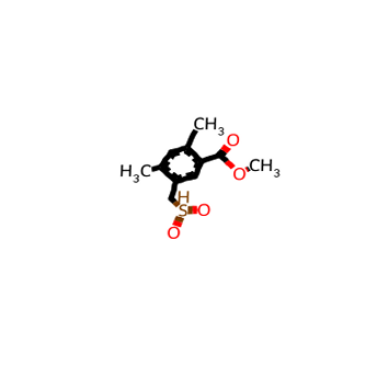 COC(=O)c1cc(C[SH](=O)=O)c(C)cc1C